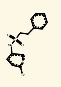 O=S(=O)(CCc1ccccc1)Nc1ccc(Br)cc1